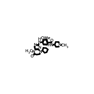 COc1cc(C(=O)NC2CCN(C)CC2)ccc1Nc1ncc2c(n1)N(C1CCCCC1)CCC(=O)N2C